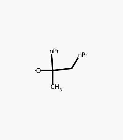 CCCCC(C)([O])CCC